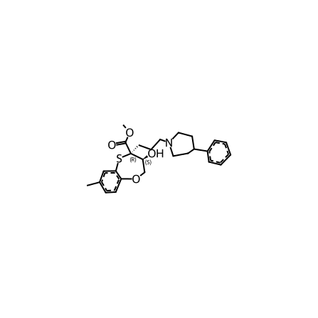 COC(=O)[C@]1(CCCN2CCC(c3ccccc3)CC2)Sc2cc(C)ccc2OC[C@@H]1O